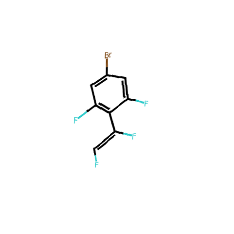 F/C=C(\F)c1c(F)cc(Br)cc1F